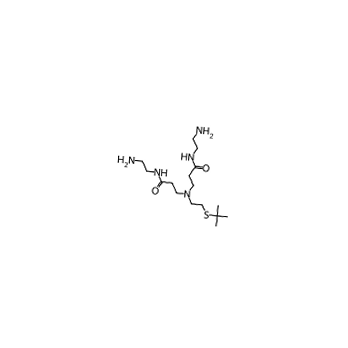 CC(C)(C)SCCN(CCC(=O)NCCN)CCC(=O)NCCN